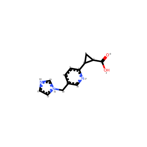 O=C(O)C1CC1c1ccc(Cn2ccnc2)cn1